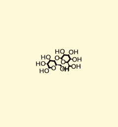 [2H]C(O)[C@H]1O[C@@H](O[C@H]2[C@H](O)[C@@H](O)C(O)O[C@@H]2CO)[C@H](O)[C@@H](O)[C@H]1O